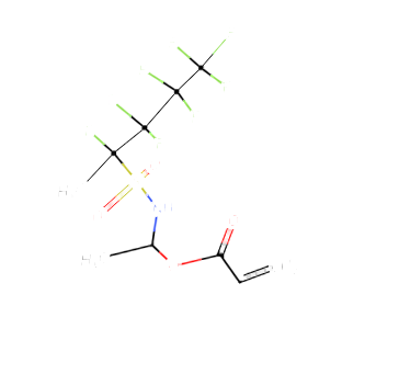 C=CC(=O)OC(C)NS(=O)(=O)C(C)(F)C(F)(F)C(F)(F)C(F)(F)F